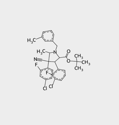 Cc1cccc(CN2C(C(=O)OC(C)(C)C)C(c3cccc(Cl)c3F)C(C#N)(c3ccc(Cl)cc3F)C2C)c1